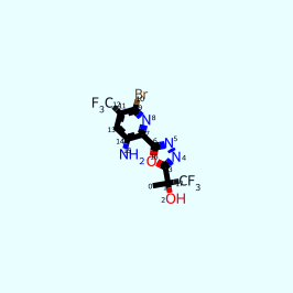 CC(O)(c1nnc(-c2nc(Br)c(C(F)(F)F)cc2N)o1)C(F)(F)F